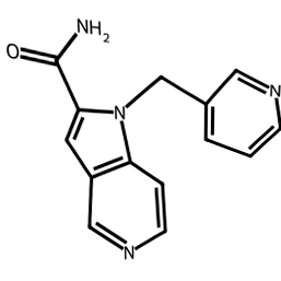 NC(=O)c1cc2cnccc2n1Cc1cccnc1